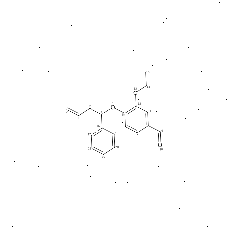 C=CCC(Oc1ccc(C=O)cc1OCC)c1ccccc1